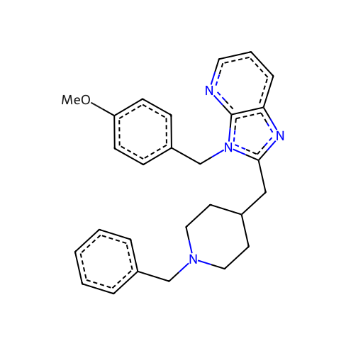 COc1ccc(Cn2c(CC3CCN(Cc4ccccc4)CC3)nc3cccnc32)cc1